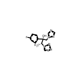 C[C@@H](n1cnnn1)[C@](O)(Cn1cncn1)c1ccc(F)cc1